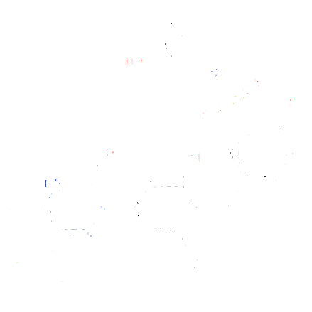 O=c1[nH]c(=O)n(-c2cc(Cl)c(Oc3ccc(O)c(S(=O)(=O)NCC4(O)CC4)c3)c(Cl)c2)nc1C(F)F